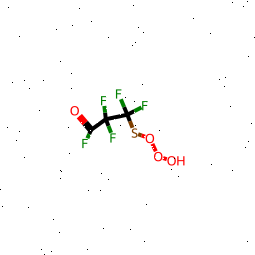 O=C(F)C(F)(F)C(F)(F)SOOO